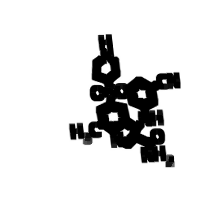 Cc1cc(S(=O)(=O)C2CCNCC2)cc2c(Nc3cccc(C#N)c3)c(C(N)=O)cnc12